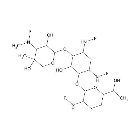 CC(O)C1CCC(NF)C(OC2C(NF)CC(NF)C(OC3OCC(C)(O)C(N(C)F)C3O)C2O)O1